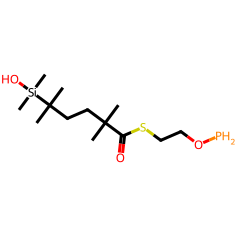 CC(C)(CCC(C)(C)[Si](C)(C)O)C(=O)SCCOP